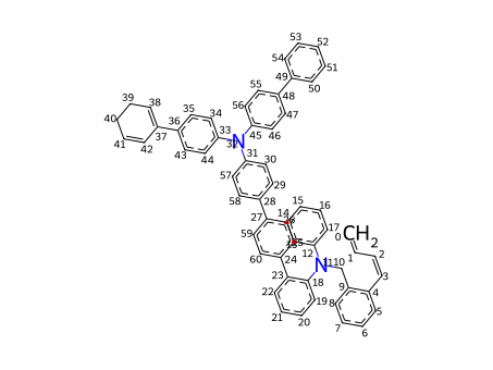 C=C/C=C\c1ccccc1CN(c1ccccc1)c1ccccc1-c1ccc(-c2ccc(N(c3ccc(C4=CCCC=C4)cc3)c3ccc(-c4ccccc4)cc3)cc2)cc1